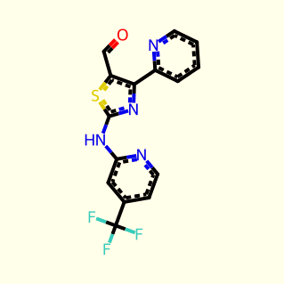 O=Cc1sc(Nc2cc(C(F)(F)F)ccn2)nc1-c1ccccn1